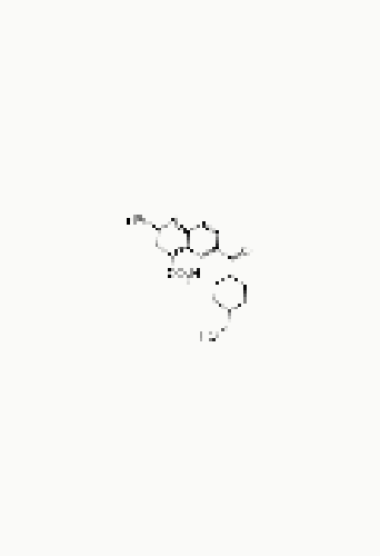 CCCc1cc(C(=O)O)c2cc(C(=O)C3CCC(CO)CC3)ccc2n1